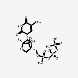 Cc1cn([C@@H]2O[C@@]3(COP(=O)(O)OP(=O)(O)OP(=O)(O)O)CO[C@@H]2[C@@H]3O)c(=O)[nH]c1=O